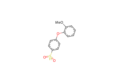 COc1ccccc1Oc1ccc([SH](=O)=O)cc1